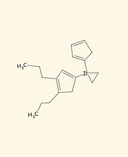 CCCC1=C(CCC)C[C]([Zr]2([C]3=CC=CC3)[CH2][CH2]2)=C1